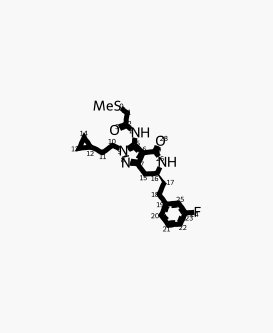 CSCC(=O)Nc1c2c(nn1CCC1CC1)C[C@H](CCc1cccc(F)c1)NC2=O